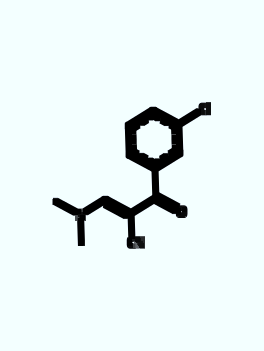 CN(C)C=C(C#N)C(=O)c1cccc(Cl)c1